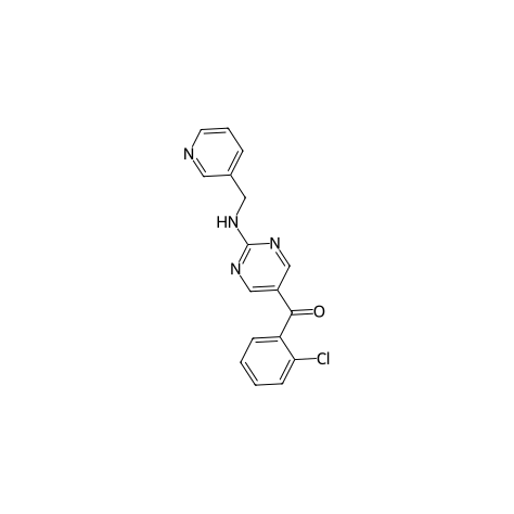 O=C(c1cnc(NCc2cccnc2)nc1)c1ccccc1Cl